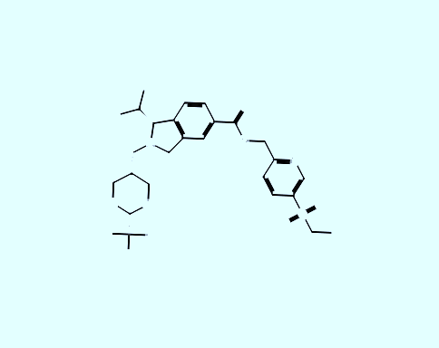 CCS(=O)(=O)c1ccc(CNC(=O)c2ccc3c(c2)CN(C[C@H]2CO[C@@H](C(F)(F)F)OC2)[C@H]3C(C)C)nc1